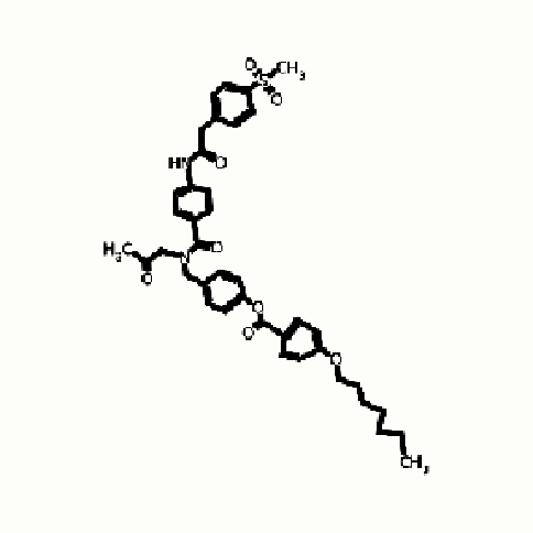 CCCCCCCOc1ccc(C(=O)Oc2ccc(CN(CC(C)=O)C(=O)c3ccc(NC(=O)Cc4ccc(S(C)(=O)=O)cc4)cc3)cc2)cc1